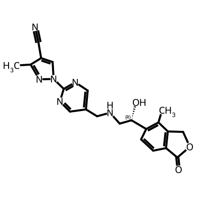 Cc1nn(-c2ncc(CNC[C@H](O)c3ccc4c(c3C)COC4=O)cn2)cc1C#N